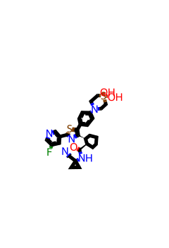 N#CC1(NC(=O)[C@@H]2CCCC[C@H]2c2nc(-c3cncc(F)c3)sc2-c2ccc(N3CCS(O)(O)CC3)cc2)CC1